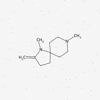 C=C1CCC2(CCN(C)CC2)N1C